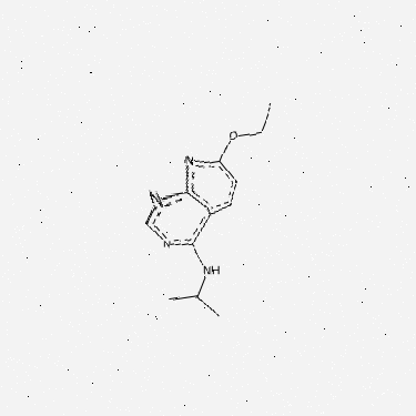 CCOc1ccc2c(NC(C)C)ncnc2n1